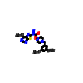 COc1cc(CN2CCN(OC(=O)Nc3nc4c(OC)ncnc4s3)CC2)cc(OC)c1